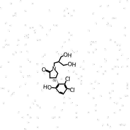 O=C1C[C@@H](c2c(O)ccc(Cl)c2Cl)CN1CC(CO)CO